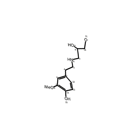 COc1cc(CCNCC(O)C[O])ccc1O